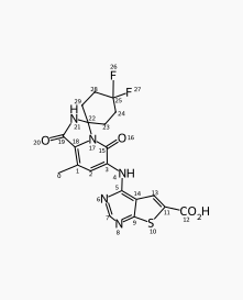 Cc1cc(Nc2ncnc3sc(C(=O)O)cc23)c(=O)n2c1C(=O)NC21CCC(F)(F)CC1